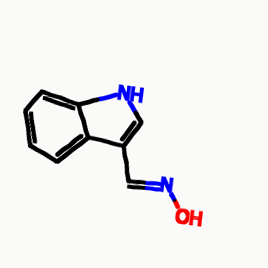 O/N=C/c1c[nH]c2ccccc12